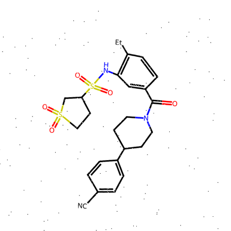 CCc1ccc(C(=O)N2CCC(c3ccc(C#N)cc3)CC2)cc1NS(=O)(=O)C1CCS(=O)(=O)C1